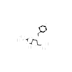 CCC[C@@H](O)[C@H]1O[C@@H]2OC(C)(C)O[C@@H]2[C@H]1OCc1ccc(Cl)cc1